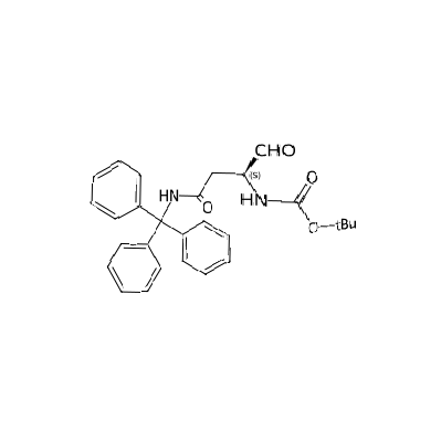 CC(C)(C)OC(=O)N[C@H](C=O)CC(=O)NC(c1ccccc1)(c1ccccc1)c1ccccc1